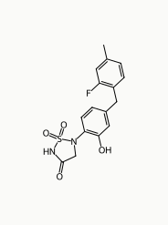 Cc1ccc(Cc2ccc(N3CC(=O)NS3(=O)=O)c(O)c2)c(F)c1